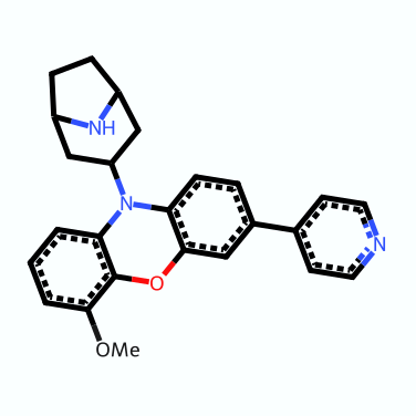 COc1cccc2c1Oc1cc(-c3ccncc3)ccc1N2C1CC2CCC(C1)N2